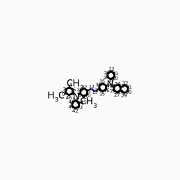 Cc1cc(C)cc(N(c2ccc(/C=C/c3ccc(N(c4ccccc4)c4ccc5ccccc5c4)cc3)cc2)c2ccccc2C)c1